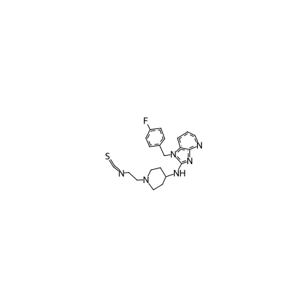 Fc1ccc(Cn2c(NC3CCN(CCN=C=S)CC3)nc3ncccc32)cc1